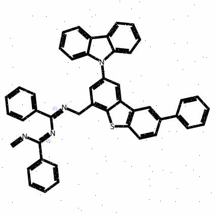 C=N/C(=N\C(=N/Cc1cc(-n2c3ccccc3c3ccccc32)cc2c1sc1ccc(-c3ccccc3)cc12)c1ccccc1)c1ccccc1